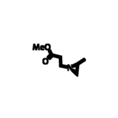 COC(=O)CCN1CC1C